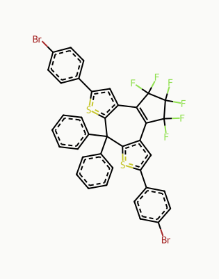 FC1(F)C2=C(c3cc(-c4ccc(Br)cc4)sc3C(c3ccccc3)(c3ccccc3)c3sc(-c4ccc(Br)cc4)cc32)C(F)(F)C1(F)F